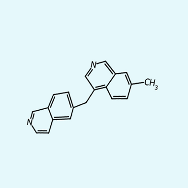 Cc1ccc2c(Cc3ccc4cnccc4c3)cncc2c1